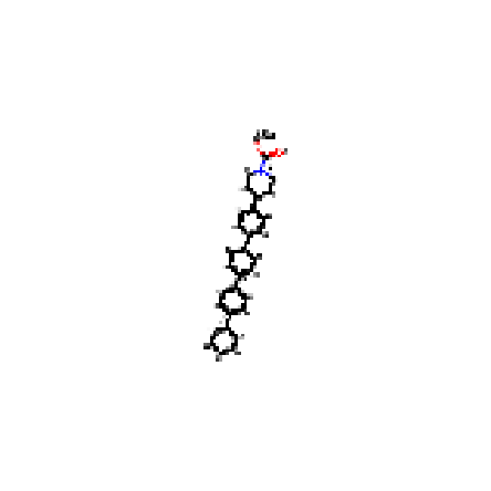 CC(C)(C)OC(=O)N1CCC(c2ccc(-c3ccc(-c4ccc(-c5ccccc5)cc4)cc3)cc2)CC1